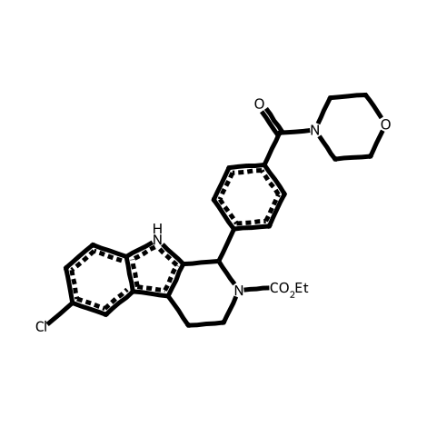 CCOC(=O)N1CCc2c([nH]c3ccc(Cl)cc23)C1c1ccc(C(=O)N2CCOCC2)cc1